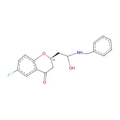 O=C1C[C@H](CC(O)NCc2ccccc2)Oc2ccc(F)cc21